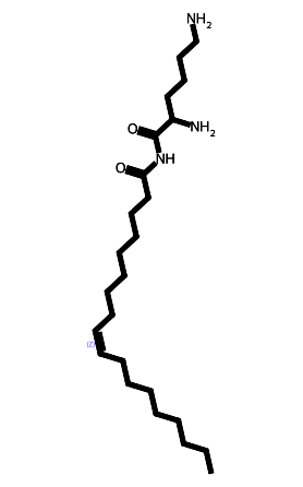 CCCCCCCC/C=C\CCCCCCCC(=O)NC(=O)C(N)CCCCN